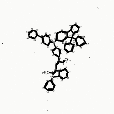 C=C/C(=C\c1c(C)n(-c2ccccc2)c2ccccc12)c1ccc(N(c2ccc(-c3ccccc3)cc2)c2ccc3c(c2)C(c2ccccc2)(c2ccccc2)c2ccccc2-3)cc1